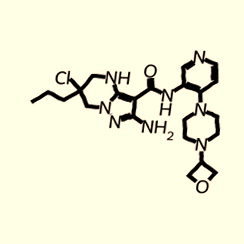 CCCC1(Cl)CNc2c(C(=O)Nc3cnccc3N3CCN(C4COC4)CC3)c(N)nn2C1